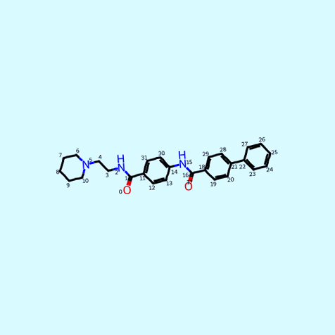 O=C(NCCN1CCCCC1)c1ccc(NC(=O)c2ccc(-c3ccccc3)cc2)cc1